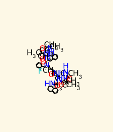 CN[C@@H](C)C(=O)N[C@H](C(=O)N1C[C@@H](NC(=O)CCCN(C(=O)[C@@H]2Cc3ccccc3CN2C(=O)[C@@H](NC(=O)[C@H](C)NC)C(C)(C)C)[C@H](C)c2ccccc2F)C[C@H]1C(=O)N[C@@H]1CCCc2ccccc21)C(C)(C)C